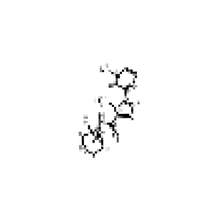 Cn1c(C(=O)N[C@H]2CN3CCC2CC3)ccc1-c1cccc(C#N)c1